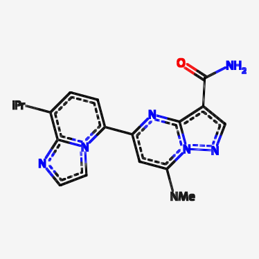 CNc1cc(-c2ccc(C(C)C)c3nccn23)nc2c(C(N)=O)cnn12